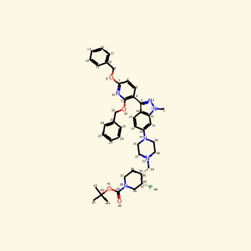 Cn1nc(-c2ccc(OCc3ccccc3)nc2OCc2ccccc2)c2ccc(N3CCN(C[C@H]4CCN(C(=O)OC(C)(C)C)C[C@H]4F)CC3)cc21